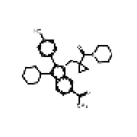 COC(=O)c1ccc2c(C3CCCCC3)c(-c3ccc(O)cc3)n(CC3(C(=O)N4CCOCC4)CC3)c2c1